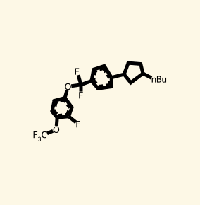 CCCCC1CCC(c2ccc(C(F)(F)Oc3ccc(OC(F)(F)F)c(F)c3)cc2)C1